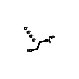 NCCO.[Cl-].[Cl-].[Cl-].[Cl-].[Pt+4]